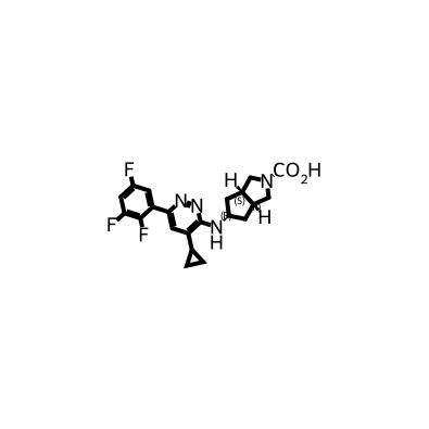 O=C(O)N1C[C@H]2C[C@@H](Nc3nnc(-c4cc(F)cc(F)c4F)cc3C3CC3)C[C@H]2C1